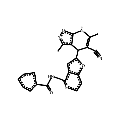 CC1=C(C#N)C(c2cc3c(NC(=O)c4ccccc4)nccc3o2)c2c(C)noc2N1